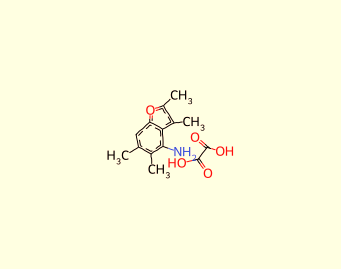 Cc1cc2oc(C)c(C)c2c(N)c1C.O=C(O)C(=O)O